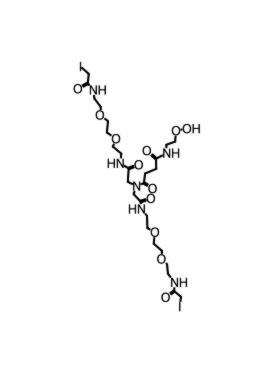 O=C(CI)NCCOCCOCCNC(=O)CN(CC(=O)NCCOCCOCCNC(=O)CI)C(=O)CCC(=O)NCCOO